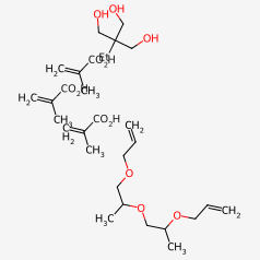 C=C(C)C(=O)O.C=C(C)C(=O)O.C=C(C)C(=O)O.C=CCOCC(C)OCC(C)OCC=C.CCC(CO)(CO)CO